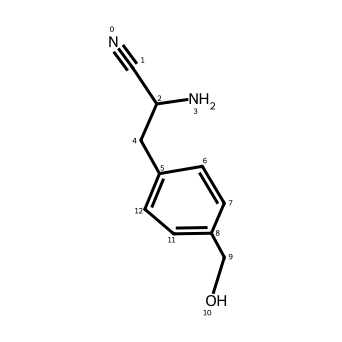 N#CC(N)Cc1ccc(CO)cc1